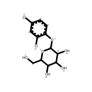 OCC1OC(Oc2ccc(Cl)cc2Cl)C(O)C(O)C1O